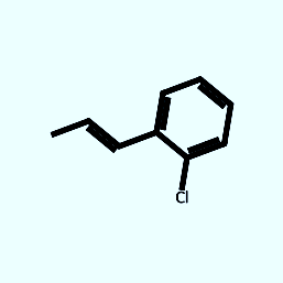 CC=Cc1ccccc1Cl